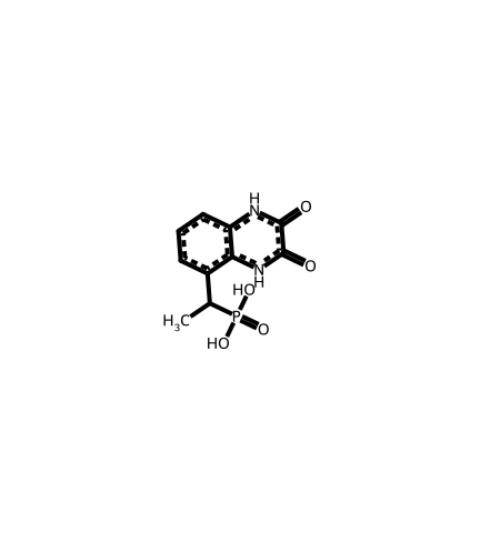 CC(c1cccc2[nH]c(=O)c(=O)[nH]c12)P(=O)(O)O